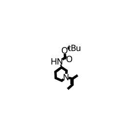 C/C=C(/C)N1CCC[C@@H](NC(=O)OC(C)(C)C)C1